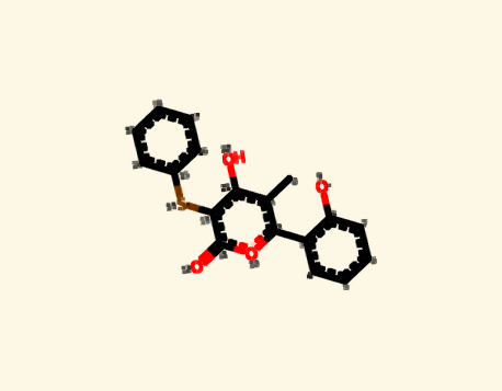 Cc1c(-c2ccccc2[O])oc(=O)c(Sc2ccccc2)c1O